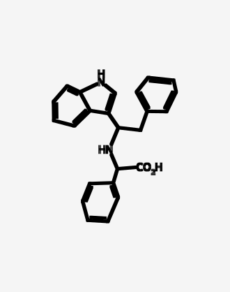 O=C(O)C(NC(Cc1ccccc1)c1c[nH]c2ccccc12)c1ccccc1